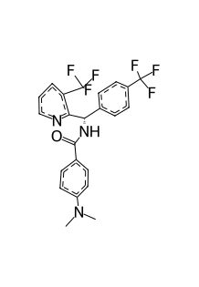 CN(C)c1ccc(C(=O)N[C@@H](c2ccc(C(F)(F)F)cc2)c2ncccc2C(F)(F)F)cc1